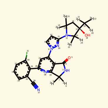 [2H]C1([2H])NC(=O)c2c(-n3ccc(N4C([2H])([2H])C[C@](O)(C([2H])([2H])[2H])C4([2H])[2H])n3)cc(-c3c(F)cccc3C#N)nc21